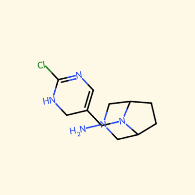 NN1CC2CCC(C1)N2CC1=CN=C(Cl)NC1